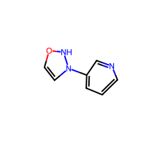 C1=CN(c2cccnc2)NO1